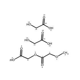 COCC(=O)OCC(=O)O.O=C(O)CO.O=C(O)CO